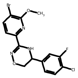 COc1nc(C2=NOCC(c3ccc(Cl)c(F)c3)N2)ccc1Br